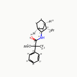 COC(C(=O)N[C@H]1[C@H]2CC[C@H](C2)[C@@H]1C(C)C)(c1ccccc1)C(F)(F)F